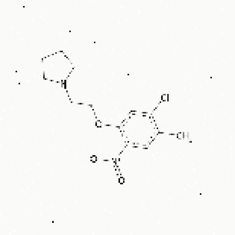 Cc1cc([N+](=O)[O-])c(OCCN2CCCC2)cc1Cl